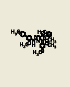 COc1ccc(N2C(=O)N(c3c(C)cccc3C)C(C)c3cnc(Nc4ccc(C5CCN(C)CC5)cc4OC)nc32)c(OC)c1